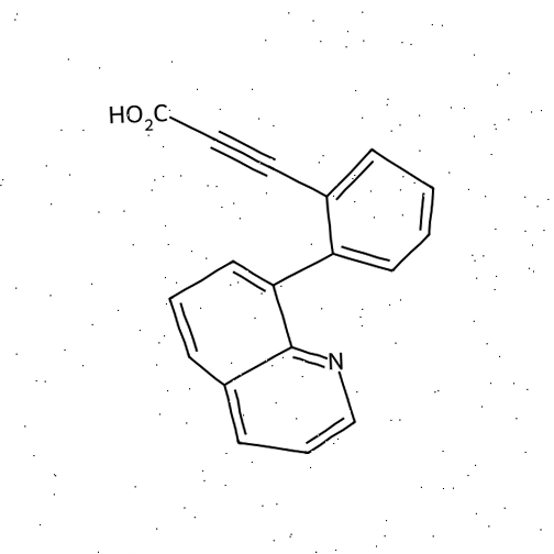 O=C(O)C#Cc1ccccc1-c1cccc2cccnc12